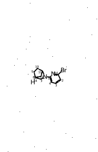 Brc1cccc(N2C[C@H]3CCC2C3)n1